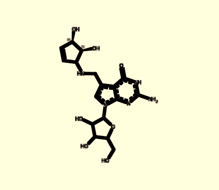 Nc1nc2c(c(CNC3C=C[C@@H](O)[C@H]3O)cn2C2OC(CO)C(O)C2O)c(=O)[nH]1